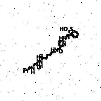 CC(C)CNCC(=O)NNC(=O)CCCCCNC(=O)c1ccc(N/N=C/c2ccccc2S(=O)(=O)O)nc1